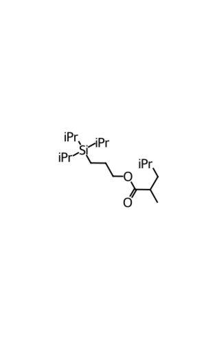 CC(C)CC(C)C(=O)OCCC[Si](C(C)C)(C(C)C)C(C)C